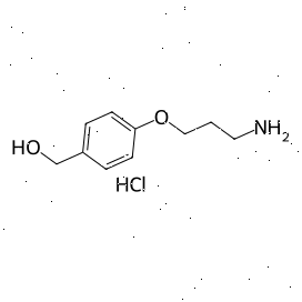 Cl.NCCCOc1ccc(CO)cc1